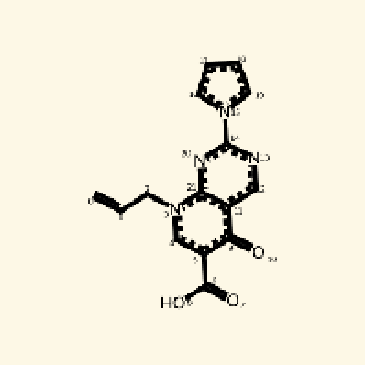 C=CCn1cc(C(=O)O)c(=O)c2cnc(-n3cccc3)nc21